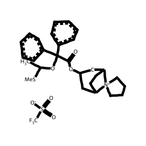 CSC(C)OC(C(=O)OC1CC2CCC(C1)[N+]21CCCC1)(c1ccccc1)c1ccccc1.O=S(=O)([O-])C(F)(F)F